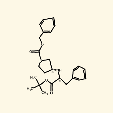 CC(C)(C)OC(=O)[C@H](Cc1ccccc1)N[C@H]1CCN(C(=O)OCc2ccccc2)C1